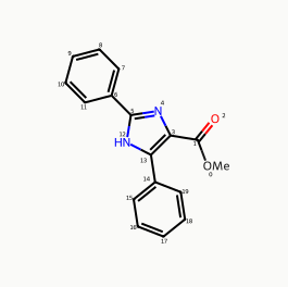 COC(=O)c1nc(-c2ccccc2)[nH]c1-c1ccccc1